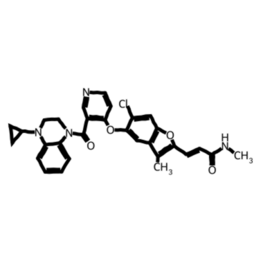 CNC(=O)/C=C/c1oc2cc(Cl)c(Oc3ccncc3C(=O)N3CCN(C4CC4)c4ccccc43)cc2c1C